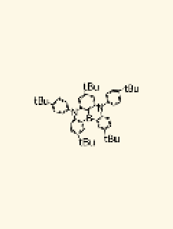 CC(C)(C)c1ccc(N2c3ccc(C(C)(C)C)cc3B3c4cc(C(C)(C)C)ccc4N(c4ccc(C(C)(C)C)cc4)c4cc(C(C)(C)C)cc2c43)cc1